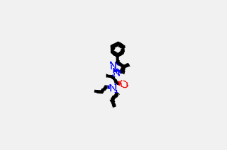 CCCN(CCC)C(=O)C(C)n1cc(C)c(-c2ccccc2)n1